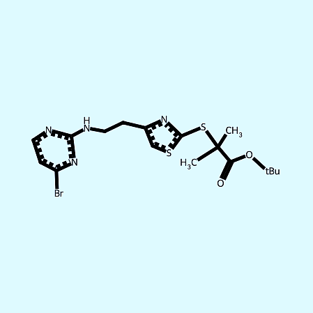 CC(C)(C)OC(=O)C(C)(C)Sc1nc(CCNc2nccc(Br)n2)cs1